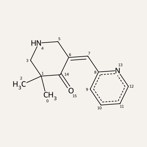 CC1(C)CNCC(=Cc2ccccn2)C1=O